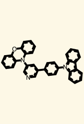 c1ccc2c(c1)Oc1ccccc1N2c1cncc(-c2ccc(-n3c4ccccc4c4ccccc43)cc2)c1